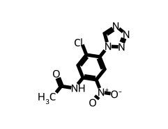 CC(=O)Nc1cc(Cl)c(-n2cnnn2)cc1[N+](=O)[O-]